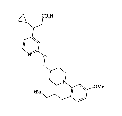 COc1ccc(CCCC(C)(C)C)c(N2CCC(COc3cc(C(CC(=O)O)C4CC4)ccn3)CC2)c1